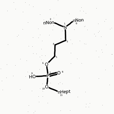 CCCCCCCCCN(CCCCCCCCC)CCCOP(=O)(O)OCCCCCCC